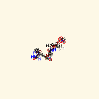 CC(C)(CCOCC(=O)ON1C(=O)CCC1=O)OCC(C)(C)OCCNC(=O)C1CCC(CN2C(=O)CC(SCCCCC[C@H](NC(=O)[C@H]3CCC(=O)N3)C(=O)Nc3ccccc3)C2=O)CC1